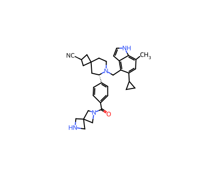 Cc1cc(C2CC2)c(CN2CCC3(CC(C#N)C3)C[C@H]2c2ccc(C(=O)N3CC4(CNC4)C3)cc2)c2cc[nH]c12